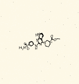 CCOC(=O)[C@H]1CCCN(c2nc(Nc3cccc(S(N)(=O)=O)c3)nc3[nH]ccc23)C1